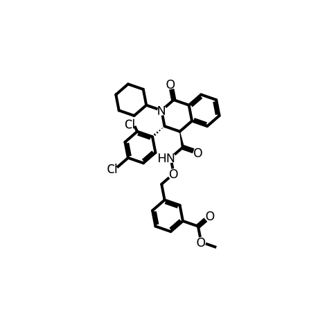 COC(=O)c1cccc(CONC(=O)[C@@H]2c3ccccc3C(=O)N(C3CCCCC3)[C@H]2c2ccc(Cl)cc2Cl)c1